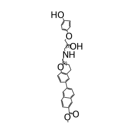 COC(=O)c1ccc2cc(-c3ccc4c(c3)CC[C@H](CNC[C@H](O)COc3ccc(O)cc3)O4)ccc2c1